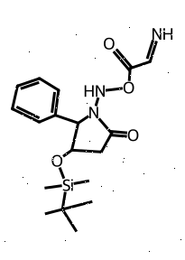 CC(C)(C)[Si](C)(C)OC1CC(=O)N(NOC(=O)C=N)C1c1ccccc1